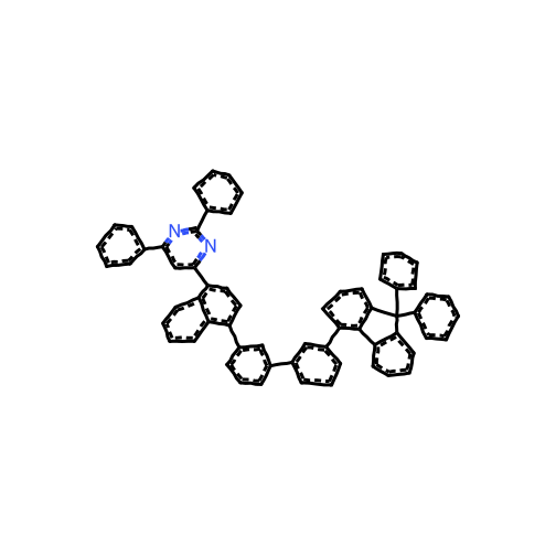 c1ccc(-c2cc(-c3ccc(-c4cccc(-c5cccc(-c6cccc7c6-c6ccccc6C7(c6ccccc6)c6ccccc6)c5)c4)c4ccccc34)nc(-c3ccccc3)n2)cc1